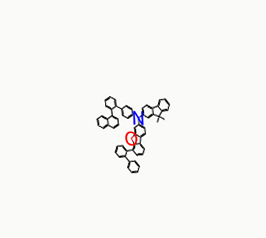 CC1(C)c2ccccc2-c2ccc(N(c3ccc(-c4ccccc4-c4cccc5ccccc45)cc3)c3ccc4c(c3)oc3c(-c5ccccc5-c5ccccc5)cccc34)cc21